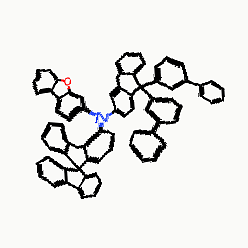 c1ccc(-c2cccc(C3(c4cccc(-c5ccccc5)c4)c4ccccc4-c4cc(N(c5ccc6c(c5)oc5ccccc56)c5cccc6c5-c5ccccc5C65c6ccccc6-c6ccccc65)ccc43)c2)cc1